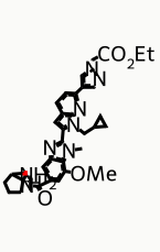 CCOC(=O)Cn1cc(-c2ccc3cc(-c4nc5cc(C(=O)N6CC7CCC6[C@@H]7N)cc(OC)c5n4C)n(CC4CC4)c3n2)cn1